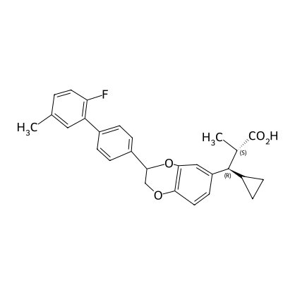 Cc1ccc(F)c(-c2ccc(C3COc4ccc([C@H](C5CC5)[C@H](C)C(=O)O)cc4O3)cc2)c1